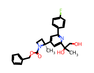 CC(O)(CO)c1cc([C@]2(C)CCN2C(=O)OCc2ccccc2)cc(-c2ccc(F)cc2)n1